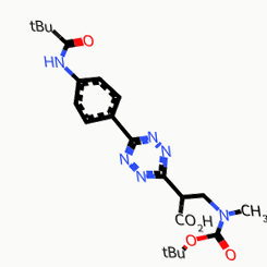 CN(CC(C(=O)O)c1nnc(-c2ccc(NC(=O)C(C)(C)C)cc2)nn1)C(=O)OC(C)(C)C